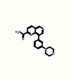 NC(=O)c1ccc2cncc(-c3cccc(N4CCOCC4)c3)c2n1